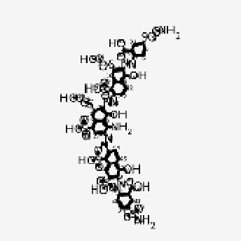 NOOSc1ccc(N=Nc2c(SOOO)cc3c(S(=O)(=O)O)c(N=Nc4c(SOOO)cc5c(S(=O)(=O)O)cc(N=Nc6ccc7c(O)c(N=Nc8ccc(S(N)(=O)=O)cc8C(=O)O)c(S(=O)(=O)O)cc7c6S(=O)(=O)O)c(N)c5c4O)ccc3c2O)c(C(=O)O)c1